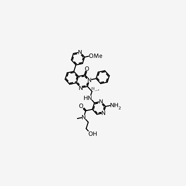 COc1cc(-c2cccc3nc([C@H](C)Nc4nc(N)ncc4C(=O)N(C)CCO)n(-c4ccccc4)c(=O)c23)ccn1